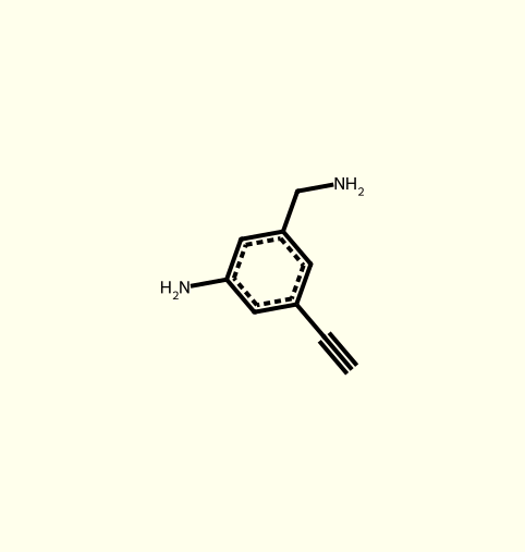 C#Cc1cc(N)cc(CN)c1